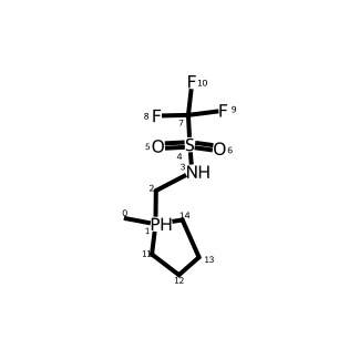 C[PH]1(CNS(=O)(=O)C(F)(F)F)CCCC1